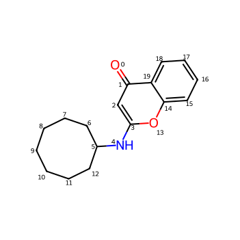 O=c1cc(NC2CCCCCCC2)oc2ccccc12